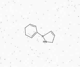 C1=CC(N2C=CCN2)=CCC1